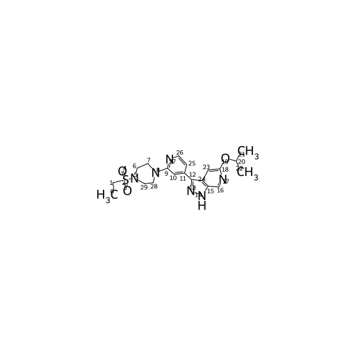 CCS(=O)(=O)N1CCN(c2cc(-c3n[nH]c4cnc(OC(C)C)cc34)ccn2)CC1